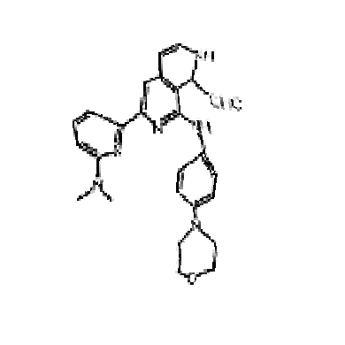 CN(C)c1cccc(-c2cc3c(c(Nc4ccc(N5CCOCC5)cc4)n2)C(C=O)NC=C3)n1